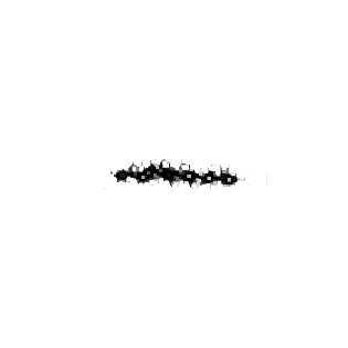 COc1cc(N=Nc2ccc(N=Nc3ccc(S(=O)(=O)O)cc3S(=O)(=O)O)c(C)c2)c(C)cc1N=Nc1cc(OC)c(N=Nc2c(S(=O)(=O)O)cc3cc(NC(=O)c4ccc(N)cc4)ccc3c2O)cc1OC